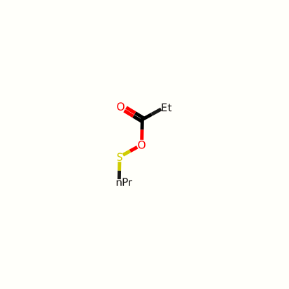 CCCSOC(=O)CC